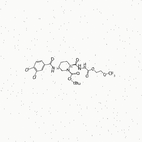 CC(C)(C)OC(=O)N1C[C@H](NC(=O)c2ccc(Cl)c(Cl)c2)CC[C@H]1C(=O)NNC(=O)OCCOC(F)(F)F